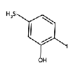 Oc1cc([SiH3])ccc1I